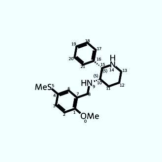 COc1ccc(SC)cc1CN[C@H]1CCCN[C@H]1c1ccccc1